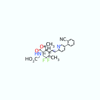 C[C@H]1OC(=O)[C@]2(NCC(=O)O)CC(F)(F)[C@@H](C)[C@H](/C=C/c3ccc(-c4ccccc4C#N)cn3)[C@H]12